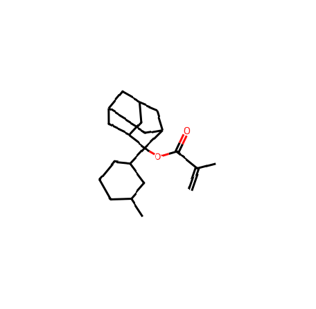 C=C(C)C(=O)OC1(C2CCCC(C)C2)C2CC3CC(C2)CC1C3